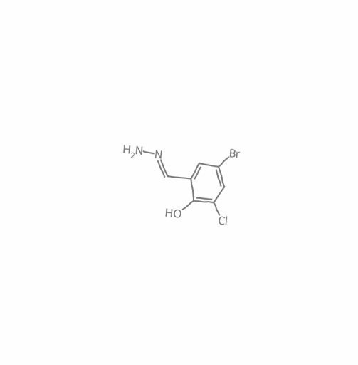 NN=Cc1cc(Br)cc(Cl)c1O